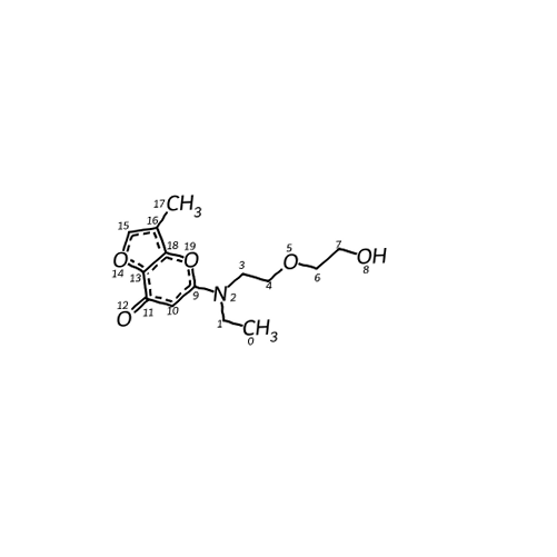 CCN(CCOCCO)c1cc(=O)c2occ(C)c2o1